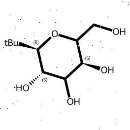 CC(C)(C)[C@H]1OC(CO)[C@@H](O)C(O)[C@@H]1O